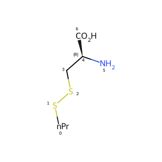 CCCSSC[C@H](N)C(=O)O